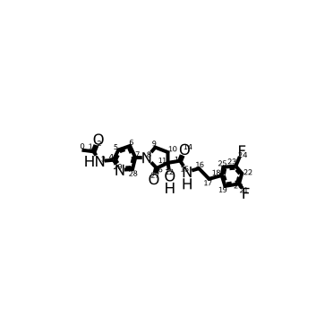 CC(=O)Nc1ccc(N2CCC(O)(C(=O)NCCc3cc(F)cc(F)c3)C2=O)cn1